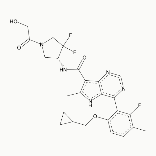 Cc1ccc(OCC2CC2)c(-c2ncnc3c(C(=O)N[C@@H]4CN(C(=O)CO)CC4(F)F)c(C)[nH]c23)c1F